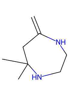 C=C1CC(C)(C)NCCN1